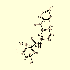 C=C(c1ccc(C)cc1)c1cc(NC(=C)c2cc(C)cc(C)c2C#N)ccc1C